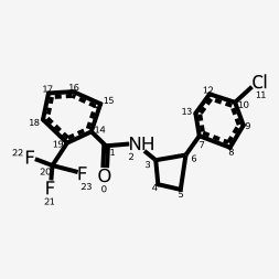 O=C(NC1CCC1c1ccc(Cl)cc1)c1ccccc1C(F)(F)F